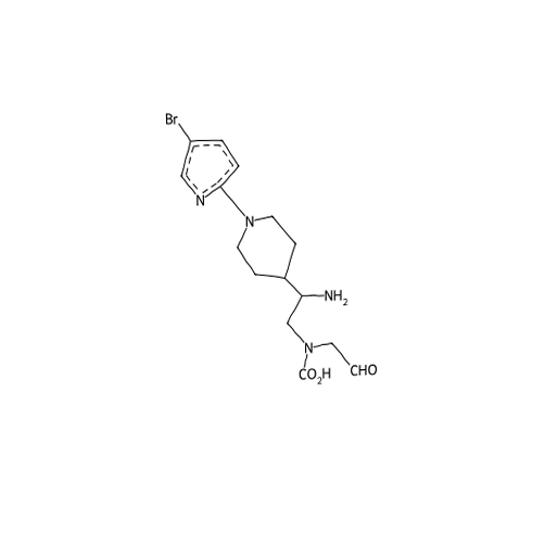 NC(CN(CC=O)C(=O)O)C1CCN(c2ccc(Br)cn2)CC1